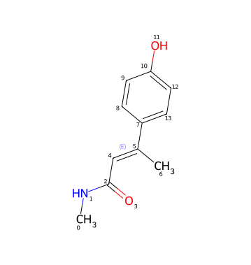 CNC(=O)/C=C(\C)c1ccc(O)cc1